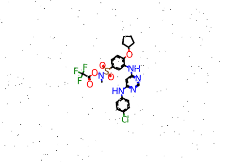 CN(OC(=O)C(F)(F)F)S(=O)(=O)c1ccc(OC2CCCC2)c(Nc2cc(Nc3ccc(Cl)cc3)ncn2)c1